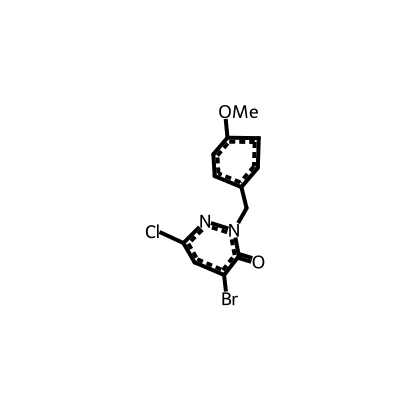 COc1ccc(Cn2nc(Cl)cc(Br)c2=O)cc1